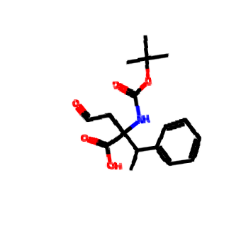 CC(c1ccccc1)C(CC=O)(NC(=O)OC(C)(C)C)C(=O)O